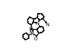 N#Cc1cccc2c3cccc(C#N)c3n(-c3cccc4c3C(=O)N(c3ccccc3)C4=O)c12